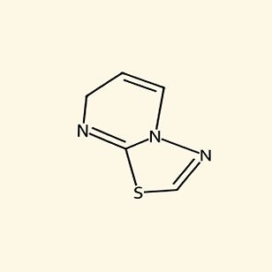 C1=CN2N=CSC2=NC1